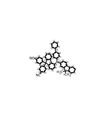 CC1(C)c2ccccc2-c2ccc(N(c3ccc(-c4ccccc4)cc3)c3cccc4c3-c3ccccc3C4(c3ccc(C#N)cc3)c3ccc(C#N)cc3)cc21